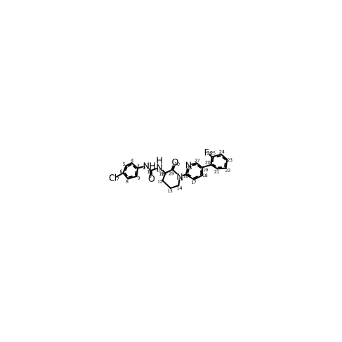 O=C(Nc1ccc(Cl)cc1)N[C@@H]1CCCN(c2ccc(-c3ccccc3F)cn2)C1=O